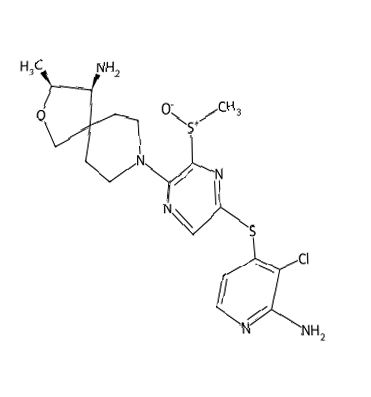 C[C@@H]1OCC2(CCN(c3ncc(Sc4ccnc(N)c4Cl)nc3[S+](C)[O-])CC2)[C@@H]1N